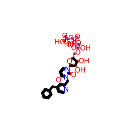 O=c1ccn([C@@H]2O[C@H](COP(=O)(O)OP(=O)(O)OP(=O)(O)O)C(O)C2O)c(=O)n1Cc1cc(Cc2ccccc2)ccn1